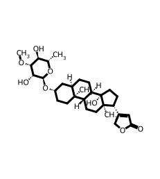 CO[C@@H]1[C@@H](O)[C@H](C)O[C@@H](O[C@H]2CC[C@@]3(C)[C@H](CC[C@@H]4[C@@H]3CC[C@]3(C)[C@@H](C5=CC(=O)OC5)CC[C@]43O)C2)[C@@H]1O